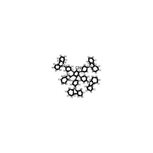 N#Cc1c(-c2ccc(-n3c4ccccc4c4ccccc43)cc2)c(-c2ccc(-n3c4ccccc4c4ccccc43)cc2)c(-c2ccc(-n3c4ccccc4c4ccccc43)cc2)c(-c2nc3ccccc3s2)c1-c1ccc(-n2c3ccccc3c3ccccc32)cc1